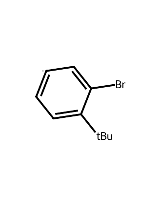 CC(C)(C)c1cc[c]cc1Br